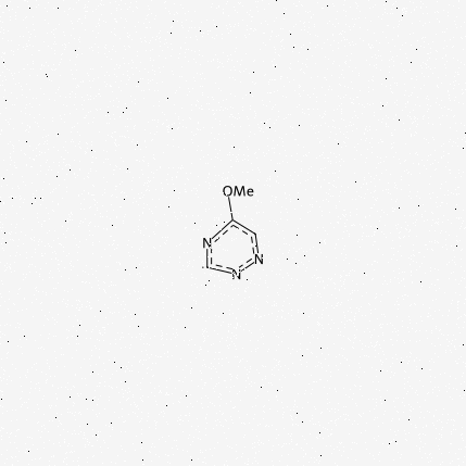 COc1cnn[c]n1